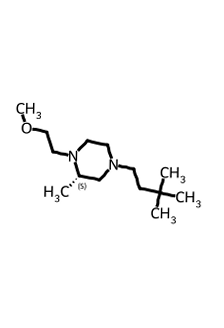 COCCN1CCN(CCC(C)(C)C)C[C@@H]1C